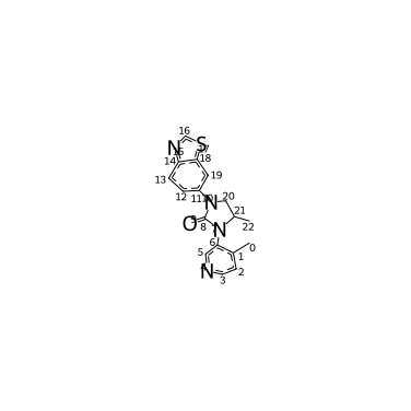 Cc1ccncc1N1C(=O)N(c2ccc3ncsc3c2)CC1C